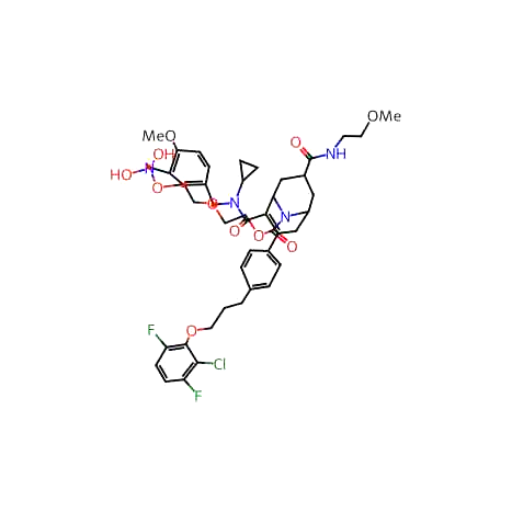 COCCNC(=O)C1CC2CC(c3ccc(CCCOc4c(F)ccc(F)c4Cl)cc3)=C(C(=O)N(Cc3ccc(OC)c(C)c3)C3CC3)C(C1)N2C(=O)OCCOCCON(O)O